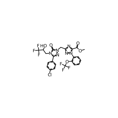 COC(=O)c1nc(Cn2nc(-c3ccc(Cl)cc3)n(CC(O)C(F)(F)F)c2=O)nn1-c1ccccc1OC(F)(F)F